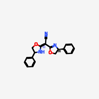 N#C/C(C1=N[C@@H](c2ccccc2)CO1)=C1/NC(c2ccccc2)CO1